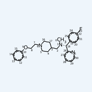 CN(CC1CCN(CCOc2ccccc2)CC1)[C@H](c1ccc(F)cc1)c1ccccn1